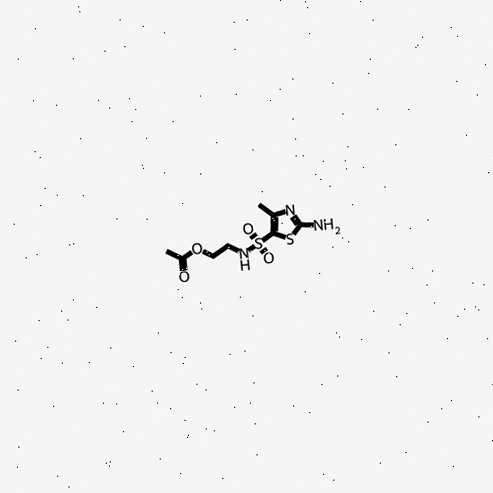 CC(=O)OCCNS(=O)(=O)c1sc(N)nc1C